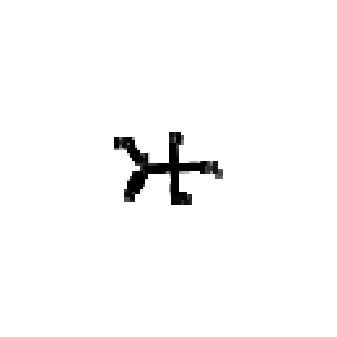 CCCCC(C)(CC)[PH](O)=S